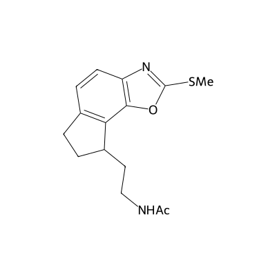 CSc1nc2ccc3c(c2o1)C(CCNC(C)=O)CC3